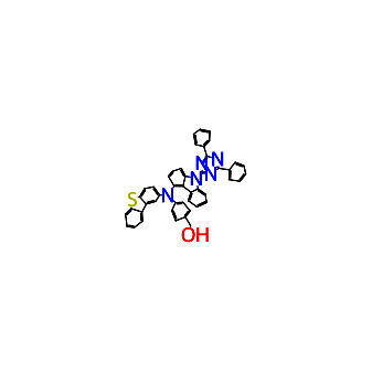 OCc1ccc(N(c2ccc3sc4ccccc4c3c2)c2cccc3c2c2ccccc2n3-c2nc(-c3ccccc3)nc(-c3ccccc3)n2)cc1